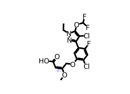 CCn1nc(-c2cc(OC/C(=C\C(=O)O)OC)c(Cl)cc2F)c(Cl)c1OC(F)F